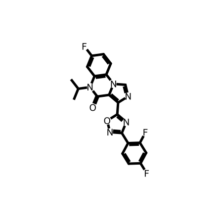 CC(C)n1c(=O)c2c(-c3nc(-c4ccc(F)cc4F)no3)ncn2c2ccc(F)cc21